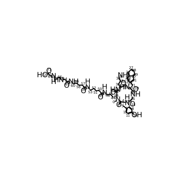 CN1C(=O)[C@@H](Cc2ccc(O)cc2)NC(=O)CNC(=O)[C@H](Cc2ccc3ccccc3c2)NC(=O)[C@H](CCCN)NC(=O)[C@H]1CCCNC(=O)CCCCNC(=O)CCCCNC(=O)CNCCNCC(=O)O